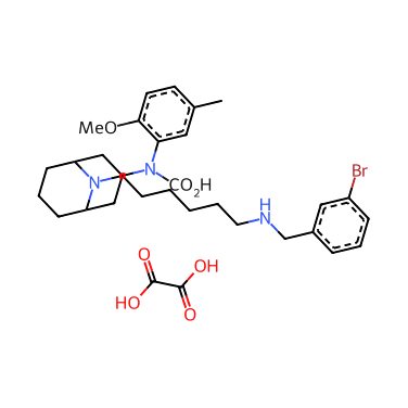 COc1ccc(C)cc1N(C(=O)O)C1CC2CCCC(C1)N2CCCCCCNCc1cccc(Br)c1.O=C(O)C(=O)O